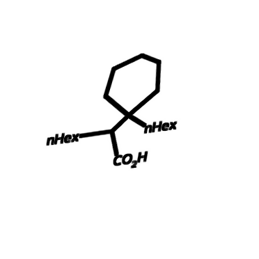 CCCCCCC(C(=O)O)C1(CCCCCC)CCCCC1